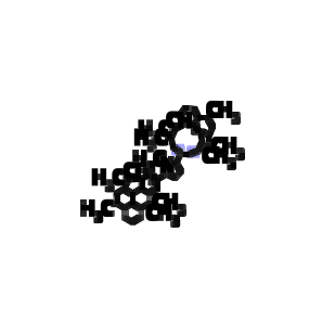 C=C1/C=C(c2ccc(-c3cc4c5c(c3)C(C)(C)c3cccc6c(C)cc(c-5c36)C4(C)C)n2C)\C=C2/Cc3c(cc(C)c4cccc(c34)C1(C)C)C2(C)C